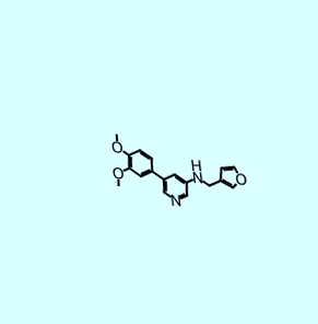 COc1ccc(-c2cncc(NCc3ccoc3)c2)cc1OC